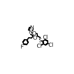 Fc1ccc(CCC2(Cn3ccnc3)OCC(CSc3c(Cl)cc(Cl)cc3Cl)O2)cc1